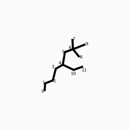 CCCCC([CH]C(C)(C)C)CC